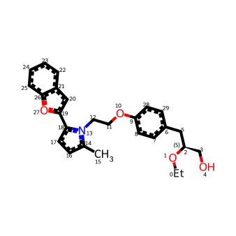 CCO[C@H](CO)Cc1ccc(OCCn2c(C)ccc2-c2cc3ccccc3o2)cc1